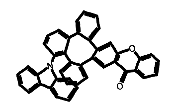 O=c1c2ccccc2oc2cc3c(cc12)-c1ccccc1-c1c(cccc1-n1c2ccccc2c2ccccc21)-c1ccccc1-3